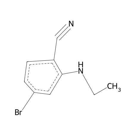 CCNc1cc(Br)ccc1C#N